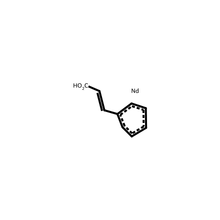 O=C(O)C=Cc1ccccc1.[Nd]